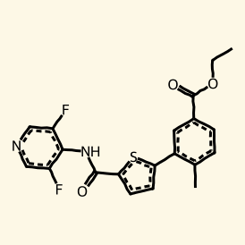 CCOC(=O)c1ccc(C)c(-c2ccc(C(=O)Nc3c(F)cncc3F)s2)c1